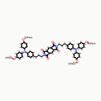 CCCCCCOc1ccc(N(c2ccc(CCCn3c(=O)c4cc5c(=O)n(CCCc6ccc(N(c7ccc(OCCCCCC)cc7)c7ccc(OCCCCCC)cc7)cc6)c(=O)c5cc4c3=O)cc2)c2ccc(OCCCCCC)cc2)cc1